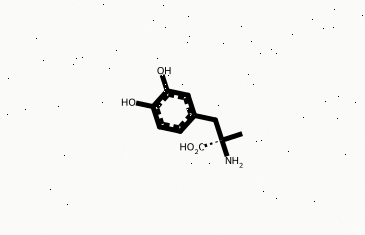 C[C@@](N)(Cc1ccc(O)c(O)c1)C(=O)O